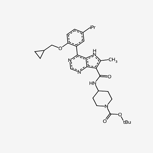 Cc1[nH]c2c(-c3cc(C(C)C)ccc3OCC3CC3)ncnc2c1C(=O)NC1CCN(C(=O)OC(C)(C)C)CC1